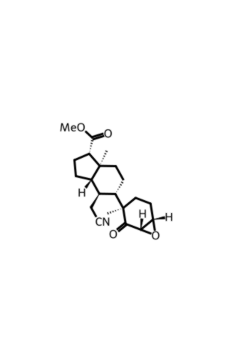 COC(=O)[C@H]1CC[C@H]2[C@H](CC#N)[C@@H]([C@@]3(C)CC[C@@H]4O[C@@H]4C3=O)CC[C@]12C